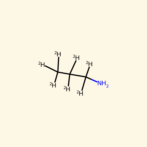 [2H]C([2H])([2H])C([2H])([2H])C([2H])([2H])N